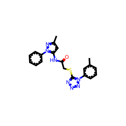 Cc1cccc(-n2nnnc2SCC(=O)Nc2cc(C)nn2-c2ccccc2)c1